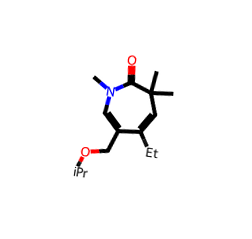 CCC1=CC(C)(C)C(=O)N(C)C=C1COC(C)C